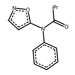 CC(C)C(=O)N(c1ccccc1)c1c[c]no1